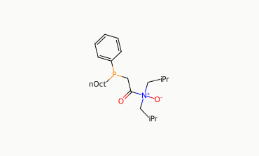 CCCCCCCCP(CC(=O)[N+]([O-])(CC(C)C)CC(C)C)c1ccccc1